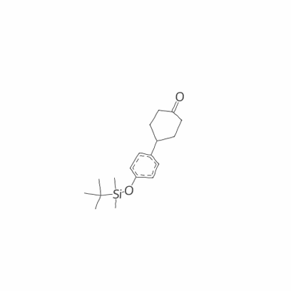 CC(C)(C)[Si](C)(C)Oc1ccc(C2CCC(=O)CC2)cc1